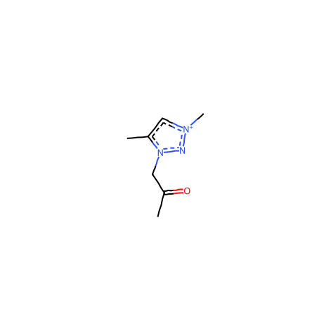 CC(=O)Cn1n[n+](C)cc1C